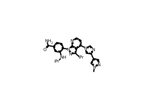 CC(C)Nc1cc(C(N)=O)ccc1-n1nc(C(C)C)c2c(-n3cnc(-c4cnn(C)c4)c3)ccnc21